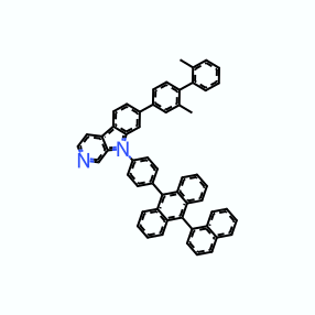 Cc1ccccc1-c1ccc(-c2ccc3c4ccncc4n(-c4ccc(-c5c6ccccc6c(-c6cccc7ccccc67)c6ccccc56)cc4)c3c2)cc1C